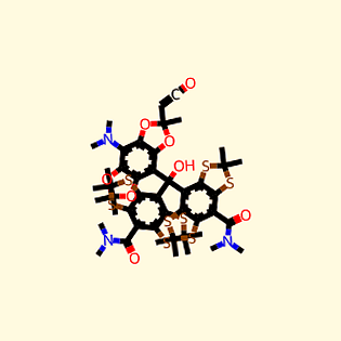 CN(C)C(=O)c1c2c(c(C(O)(c3c4c(c(N(C)C)c5c3OC(C)(C=C=O)O5)OC(C)(C)O4)c3c4c(c(C(=O)N(C)C)c5c3SC(C)(C)S5)SC(C)(C)S4)c3c1SC(C)(C)S3)SC(C)(C)S2